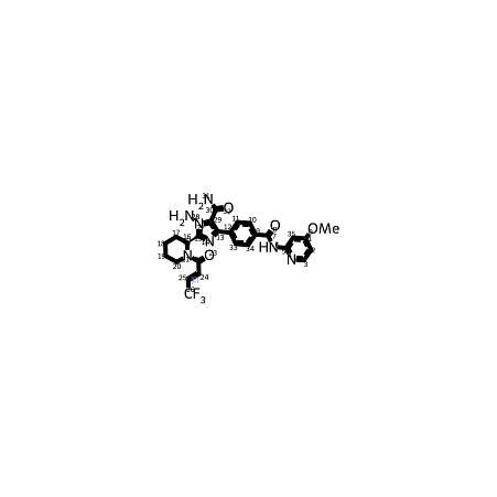 COc1ccnc(NC(=O)c2ccc(-c3nc([C@@H]4CCCCN4C(=O)/C=C/C(F)(F)F)n(N)c3C(N)=O)cc2)c1